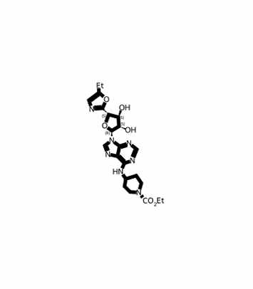 CCOC(=O)N1CCC(Nc2ncnc3c2ncn3[C@@H]2O[C@H](c3ncc(CC)o3)[C@@H](O)[C@@H]2O)CC1